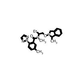 CCC(CON1Cc2ccccc2C1C)N(C)C(=O)c1cc(C)ccc1-n1nccn1